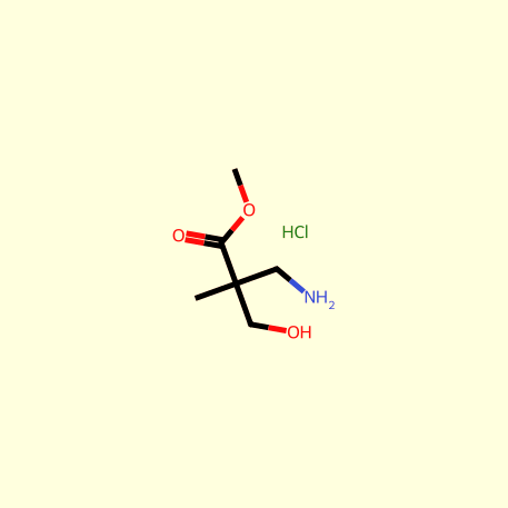 COC(=O)C(C)(CN)CO.Cl